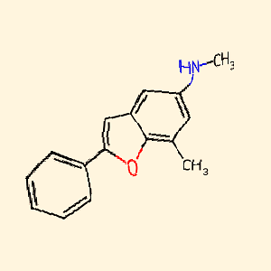 CNc1cc(C)c2oc(-c3ccccc3)cc2c1